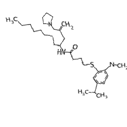 C=Nc1ccc(C(C)C)cc1SCCCC(=O)NC(CCCCCCCC)CC(=C)CN1CCCC1